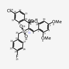 COc1cc(OC)c(/C=C(\C(=O)c2ccc(Cl)cc2)S(=O)(=O)Cc2ccc(F)cc2)c(OC)c1